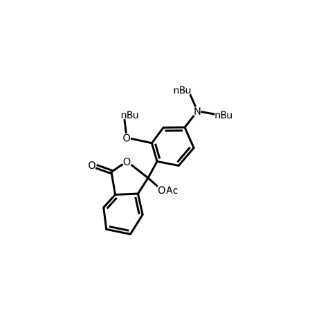 CCCCOc1cc(N(CCCC)CCCC)ccc1C1(OC(C)=O)OC(=O)c2ccccc21